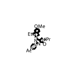 CCOc1cc(OC)ccc1CN(C)c1nc(N2CCN(C(C)=O)CC2)nc2c1CN(C(C)C)C2=O